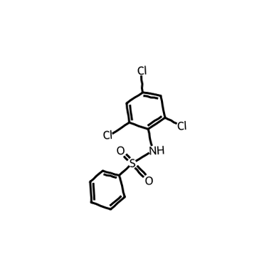 O=S(=O)(Nc1c(Cl)cc(Cl)cc1Cl)c1ccccc1